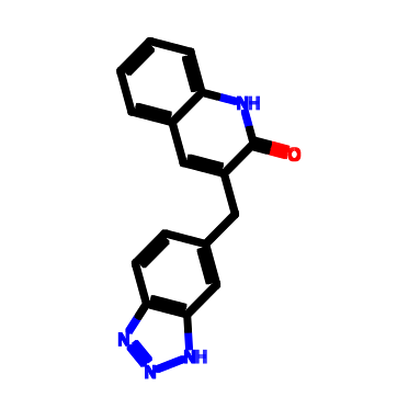 O=c1[nH]c2ccccc2cc1Cc1ccc2nn[nH]c2c1